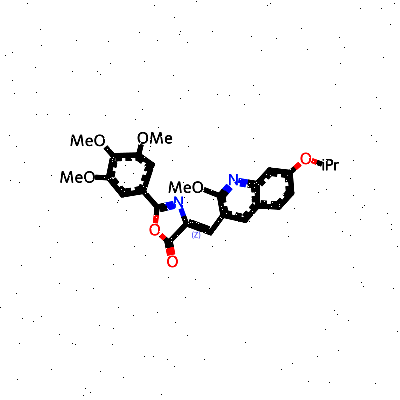 COc1cc(C2=N/C(=C\c3cc4ccc(OC(C)C)cc4nc3OC)C(=O)O2)cc(OC)c1OC